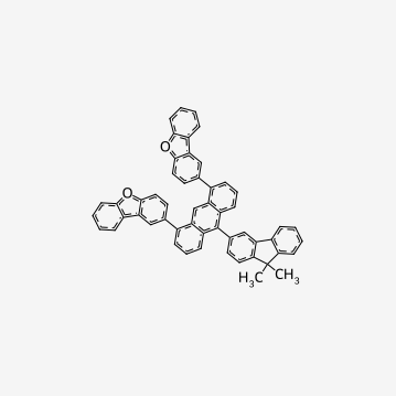 CC1(C)c2ccccc2-c2cc(-c3c4cccc(-c5ccc6oc7ccccc7c6c5)c4cc4c(-c5ccc6oc7ccccc7c6c5)cccc34)ccc21